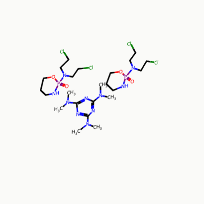 CN(C)c1nc(N(C)C)nc(N(C)C)n1.O=P1(N(CCCl)CCCl)NCCCO1.O=P1(N(CCCl)CCCl)NCCCO1